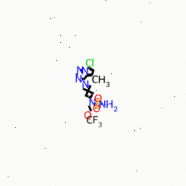 Cc1cc(Cl)n2ncnc(N3CC4(CC(N(CCOC(F)(F)F)S(N)(=O)=O)C4)C3)c12